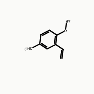 C=Cc1cc(C=O)ccc1OC(C)C